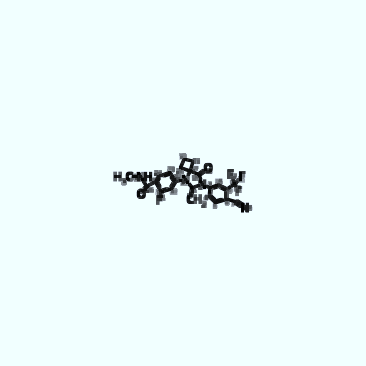 C=C1N(c2ccc(C#N)c(C(F)(F)F)c2)C(=O)C2(CCC2)N1c1ccc(C(=O)NC)c(F)c1